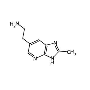 Cc1nc2cc(CCN)cnc2[nH]1